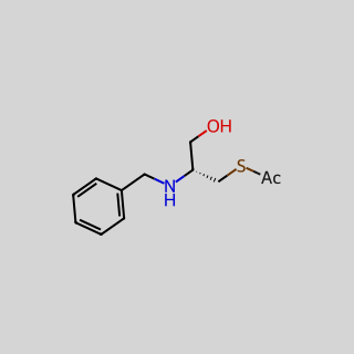 CC(=O)SC[C@@H](CO)NCc1ccccc1